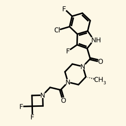 C[C@@H]1CN(C(=O)CN2CC(F)(F)C2)CCN1C(=O)c1[nH]c2ccc(F)c(Cl)c2c1F